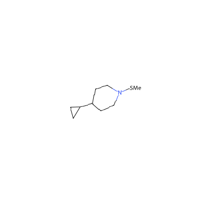 CSN1CCC(C2CC2)CC1